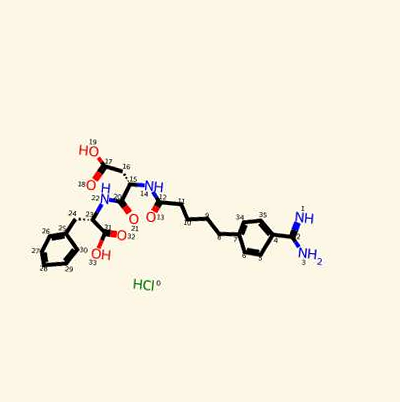 Cl.N=C(N)c1ccc(CCCCC(=O)N[C@@H](CC(=O)O)C(=O)N[C@@H](Cc2ccccc2)C(=O)O)cc1